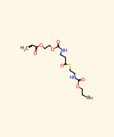 C=CC(=O)OCCOC(=O)NCCC(=O)SCCNC(=O)OCCC(C)(C)C